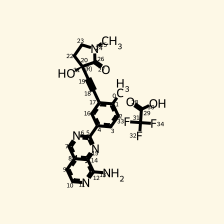 Cc1ccc(-c2ncc3ccnc(N)c3n2)cc1C#C[C@]1(O)CCN(C)C1=O.O=C(O)C(F)(F)F